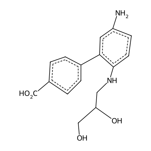 Nc1ccc(NCC(O)CO)c(-c2ccc(C(=O)O)cc2)c1